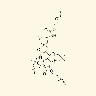 C=COCCOC(=O)NC1CC(C)(C)CC(C)(CN(C)C(=O)N(CC2(C)CCCC(C)(C)C2)C(=O)N(C=O)CC2(C)CC(NC(=O)OCCOC=C)CC(C)(C)C2)C1